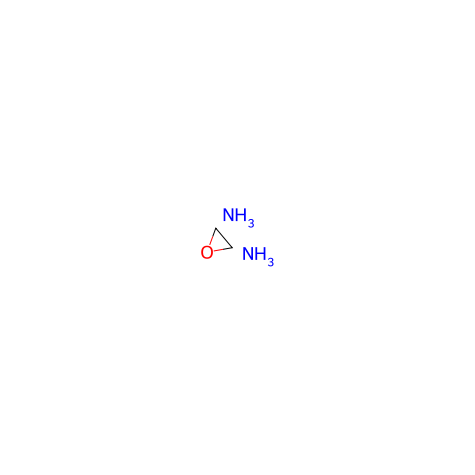 C1CO1.N.N